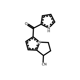 N#CC1CCn2c(C(=O)c3ccc[nH]3)ccc21